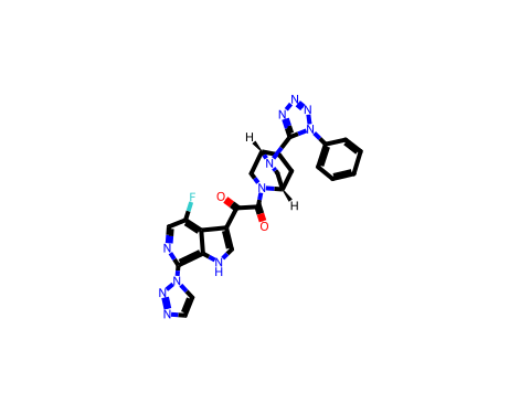 O=C(C(=O)N1C[C@@H]2CC[C@H]1CN2c1nnnn1-c1ccccc1)c1c[nH]c2c(-n3ccnn3)ncc(F)c12